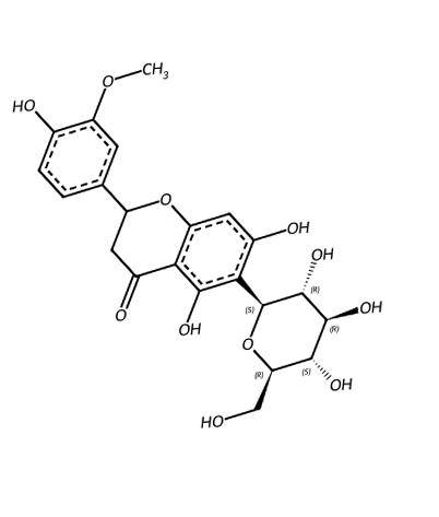 COc1cc(C2CC(=O)c3c(cc(O)c([C@@H]4O[C@H](CO)[C@@H](O)[C@H](O)[C@H]4O)c3O)O2)ccc1O